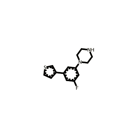 Fc1cc(-c2ccsc2)cc(N2CCNCC2)c1